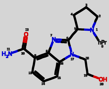 CCCN1CCCC1c1nc2c(C(N)=O)cccc2n1CCO